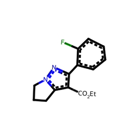 CCOC(=O)c1c(-c2ccccc2F)nn2c1CCC2